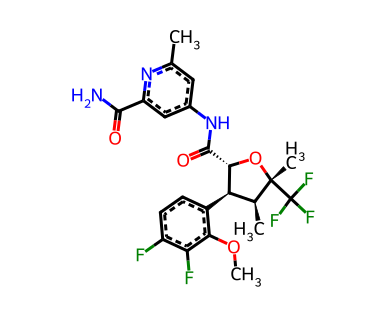 COc1c([C@H]2[C@H](C(=O)Nc3cc(C)nc(C(N)=O)c3)O[C@](C)(C(F)(F)F)[C@H]2C)ccc(F)c1F